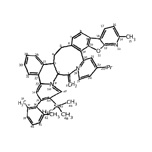 C=C1C2C(CCc3ccc4c(oc5nc(C)ccc54)c3-c3cc(C(C)C)cc[n+]31)c1ccccc1-c1cc(-c3c(C)cccc3C)c([Si](C)(C)C)c[n+]12